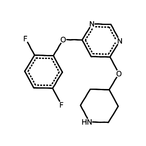 Fc1ccc(F)c(Oc2cc(OC3CCNCC3)ncn2)c1